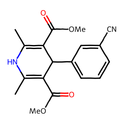 COC(=O)C1=C(C)NC(C)=C(C(=O)OC)C1c1cccc(C#N)c1